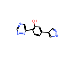 Oc1cc(-c2cn[nH]c2)ccc1-c1cn[c]nn1